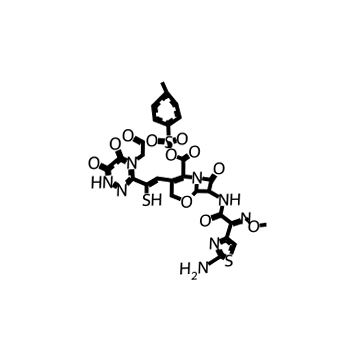 CON=C(C(=O)NC1C(=O)N2C(C(=O)OS(=O)(=O)c3ccc(C)cc3)=C(C=C(S)c3n[nH]c(=O)c(=O)n3CC=O)COC12)c1csc(N)n1